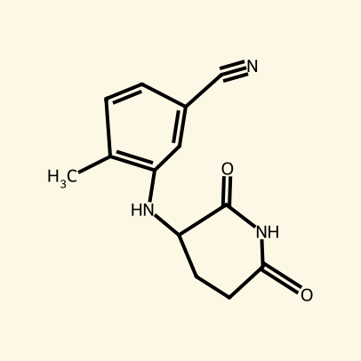 Cc1ccc(C#N)cc1NC1CCC(=O)NC1=O